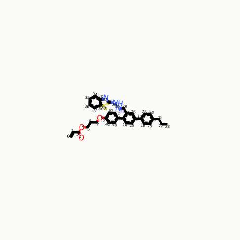 C=CC(=O)OCCCOc1ccc(-c2ccc(-c3ccc(CCC)cc3)cc2/C=N/Nc2nc3ccccc3s2)cc1